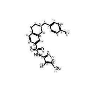 CCc1ccc(CN2CCc3ccc(S(=O)(=O)Nc4noc(C(C)(C)C)c4CC)cc3C2)cn1